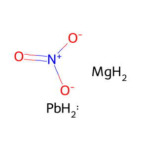 O=[N+]([O-])[O-].[MgH2].[PbH2]